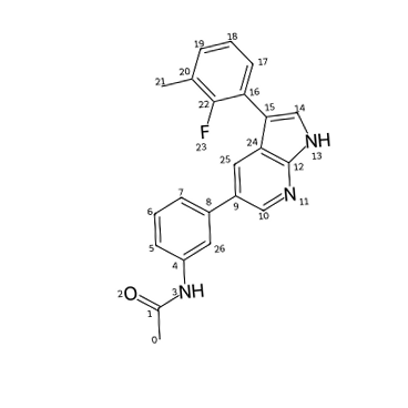 CC(=O)Nc1cccc(-c2cnc3[nH]cc(-c4cccc(C)c4F)c3c2)c1